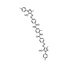 Cc1ccc(-n2nc(C)c(N=Nc3ccc(C(=O)Nc4ccc(NC(=O)c5ccc(N=Nc6c(C)nn(-c7ccc(C)cc7)c6O)cc5)c(C)c4)cc3)c2O)cc1